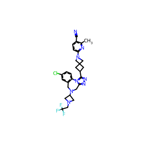 Cc1nc(N2CC3(CC(c4nnc5n4-c4ccc(Cl)cc4CN(C4CN(CC(F)(F)F)C4)C5)C3)C2)ccc1C#N